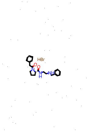 Br.O=C(NCCNCc1ccccc1)[C@@H]1CCCN1C(=O)Cc1ccccc1